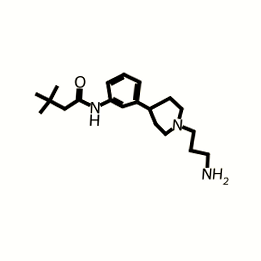 CC(C)(C)CC(=O)Nc1cccc(C2CCN(CCCN)CC2)c1